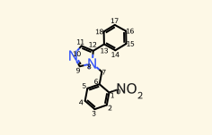 O=[N+]([O-])c1ccccc1Cn1cncc1-c1ccccc1